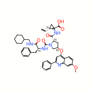 C=C[C@@H]1C[C@]1(NC(=O)[C@@H]1C[C@@H](Oc2cc(-c3ccccc3)nc3cc(OC)ccc23)CN1C(=O)N[C@@H](Cc1ccccc1)C(=O)NCC1CCCCC1)C(=O)O